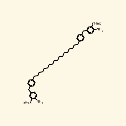 CCCCCCc1cc(Cc2ccc(CCCCCCCCCCCCCCCCCCc3ccc(Cc4ccc(N)c(CCCCCC)c4)cc3)cc2)ccc1N